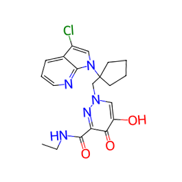 CCNC(=O)c1nn(CC2(n3cc(Cl)c4cccnc43)CCCC2)cc(O)c1=O